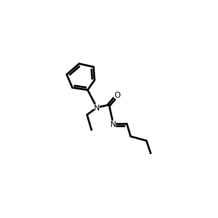 CCCC=NC(=O)N(CC)c1ccccc1